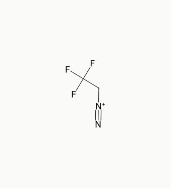 N#[N+]CC(F)(F)F